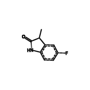 CC1C(=O)Nc2ccc(F)cc21